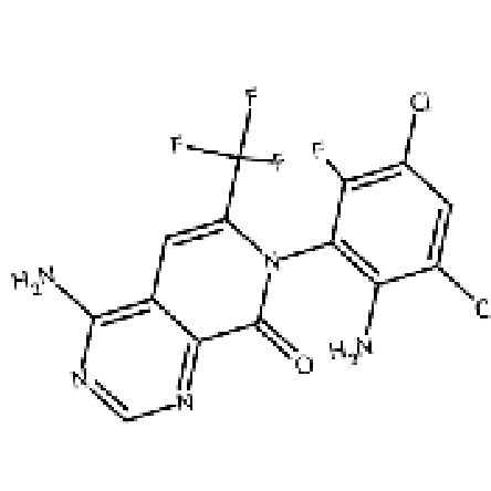 Nc1c(Cl)cc(Cl)c(F)c1-n1c(C(F)(F)F)cc2c(N)ncnc2c1=O